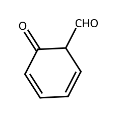 O=CC1C=CC=CC1=O